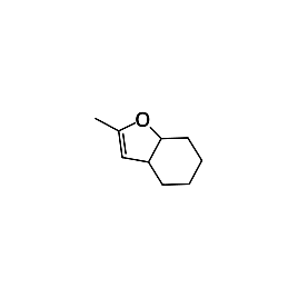 CC1=CC2CCCCC2O1